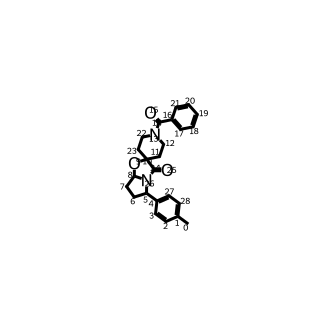 Cc1ccc(C2CCC3OC4(CCN(C(=O)c5ccccc5)CC4)C(=O)N32)cc1